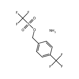 N.O=S(=O)(OCc1ccc(C(F)(F)F)cc1)C(F)(F)F